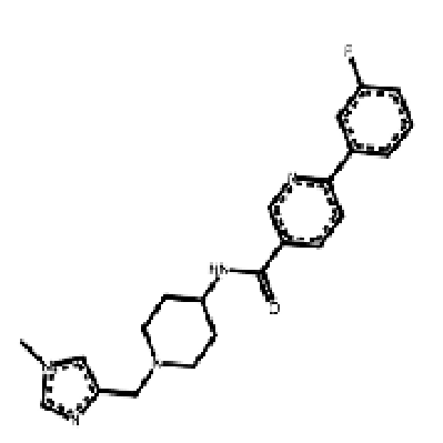 Cn1cnc(CN2CCC(NC(=O)c3ccc(-c4cccc(F)c4)nc3)CC2)c1